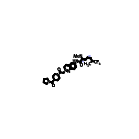 CN/C(=C\C=C/C(C)C(F)(F)F)C(=O)Nc1ccc2c(c1)=CCN(CC(=O)N1CCC(C(=O)N3CCCC3)CC1)N=2